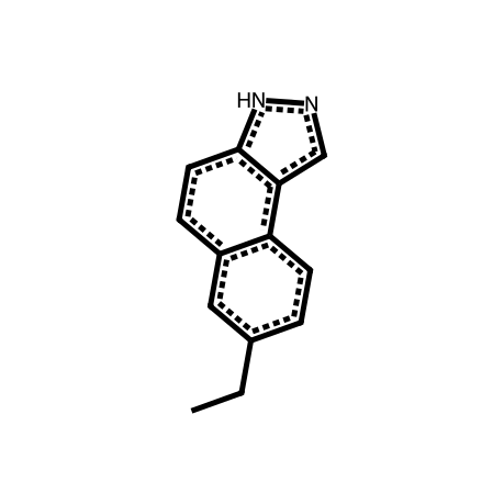 CCc1ccc2c(ccc3[nH]ncc32)c1